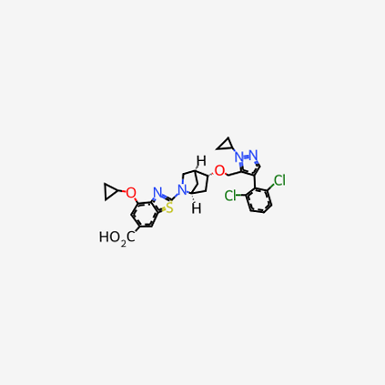 O=C(O)c1cc(OC2CC2)c2nc(N3C[C@@H]4C[C@H]3C[C@H]4OCc3c(-c4c(Cl)cccc4Cl)cnn3C3CC3)sc2c1